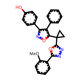 COc1ccccc1-c1nnc(C2(c3onc(-c4ccc(O)cc4)c3-c3ccccc3)CC2)o1